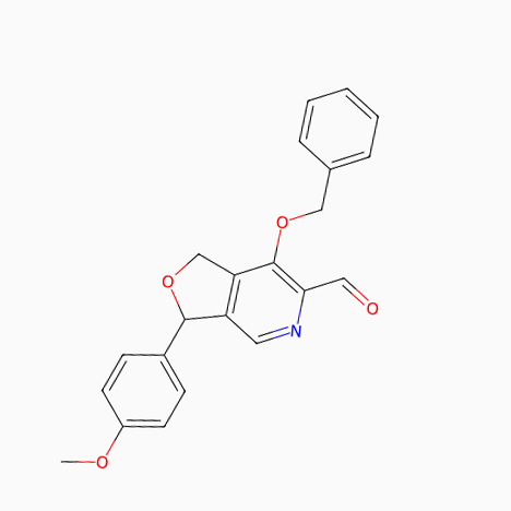 COc1ccc(C2OCc3c2cnc(C=O)c3OCc2ccccc2)cc1